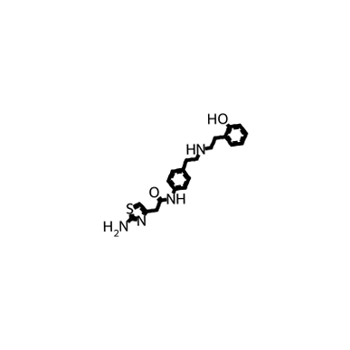 Nc1nc(CC(=O)Nc2ccc(CCNCCc3ccccc3O)cc2)cs1